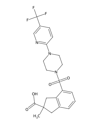 CC1(C(=O)O)Cc2cccc(S(=O)(=O)N3CCN(c4ccc(C(F)(F)F)cn4)CC3)c2C1